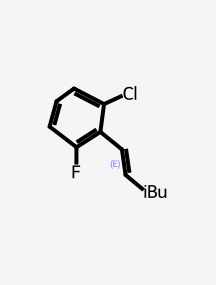 CCC(C)/C=C/c1c(F)cccc1Cl